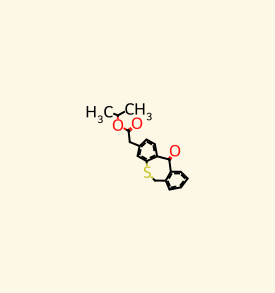 CC(C)OC(=O)Cc1ccc2c(c1)SCc1ccccc1C2=O